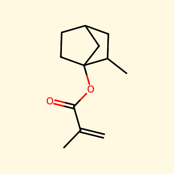 C=C(C)C(=O)OC12CCC(CC1C)C2